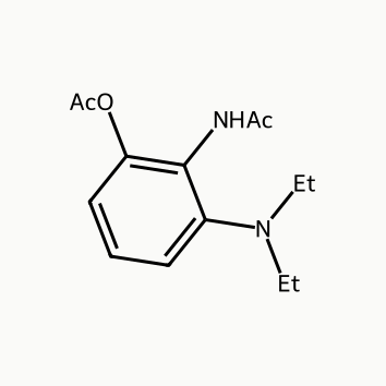 CCN(CC)c1cccc(OC(C)=O)c1NC(C)=O